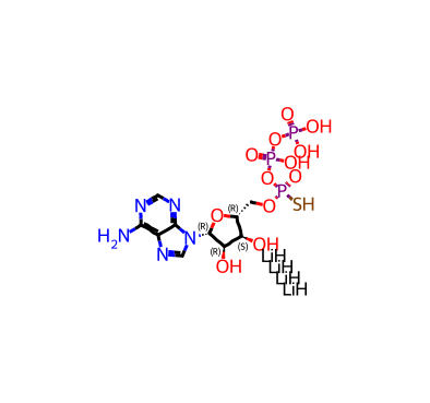 Nc1ncnc2c1ncn2[C@@H]1O[C@H](COP(=O)(S)OP(=O)(O)OP(=O)(O)O)[C@@H](O)[C@H]1O.[LiH].[LiH].[LiH].[LiH]